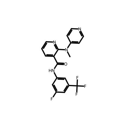 CN(c1ccncc1)c1ncccc1C(=O)Nc1cc(F)cc(C(F)(F)F)c1